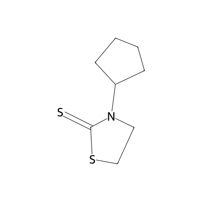 S=C1SCCN1C1CCCC1